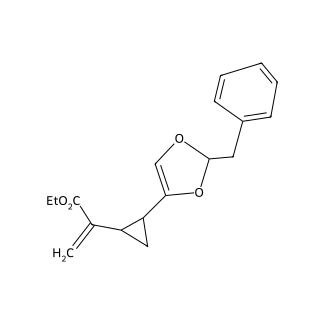 C=C(C(=O)OCC)C1CC1C1=COC(Cc2ccccc2)O1